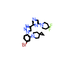 FC1(F)CCN(c2cncc(-c3cn(-c4ccc(Br)cc4N4CCC5(CC4)CC5)nn3)n2)CC1